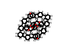 C1=Cc2c(c3ccc4c5ccccc5n(-c5ccccc5)c4c3n2-c2cc(-c3cc(-n4c5ccccc5c5ccc6c7c(n(-c8ccccc8)c6c54)CCC=C7)cc(-n4c5ccccc5c5ccc6c7c(n(-c8ccccc8)c6c54)CCC=C7)c3)cc(-n3c4ccccc4c4ccc5c6ccccc6n(-c6ccccc6)c5c43)c2)CC1